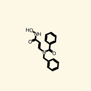 O=C(C=CN(Cc1ccccc1)C(=O)c1ccccc1)NO